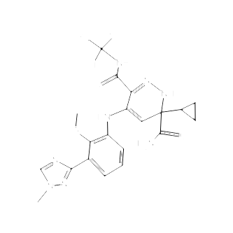 [2H]C([2H])([2H])NC(=O)C1=NNC(C(N)=O)(C2CC2)C=C1Nc1cccc(-c2ncn(C)n2)c1OC